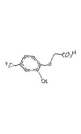 N#Cc1cc(C(F)(F)F)ccc1OCC(=O)O